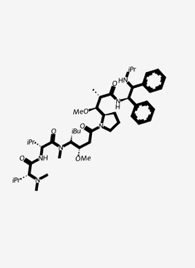 CC[C@@H](C)C([C@H](CC(=O)N1CCC[C@@H]1[C@@H](OC)[C@H](C)C(=O)N[C@H](c1ccccc1)C(NC(C)C)c1ccccc1)OC)N(C)C(=O)[C@H](NC(=O)[C@@H](C(C)C)N(C)C)C(C)C